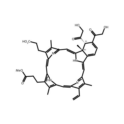 C=CC1=C(C)c2cc3[nH]c(cc4nc(cc5[nH]c(cc1n2)c(C)c5CCC(=O)OC)C(CCC(=O)O)=C4C)[C@@]1(C)C3=CC=C(C(=O)CO)[C@H]1C(=O)CO